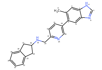 Cc1cc2[nH]cnc2cc1-c1ccc(CNC2Cc3ccccc3C2)nc1